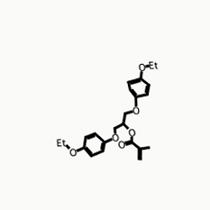 C=C(C)C(=O)OC(COc1ccc(OCC)cc1)COc1ccc(OCC)cc1